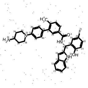 Cc1ccc(C(=O)N[C@@H](c2cc3ccccc3[nH]2)c2cc(F)ccc2O)cc1-c1ccc(N2CCC(N)CC2)cc1